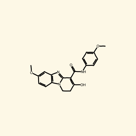 COc1ccc(NC(=O)C2=C(O)CCn3c2nc2cc(OC)ccc23)cc1